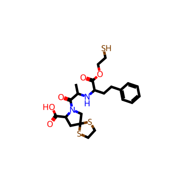 CC(NC(CCc1ccccc1)C(=O)OCCS)C(=O)N1CC2(CC1C(=O)O)SCCS2